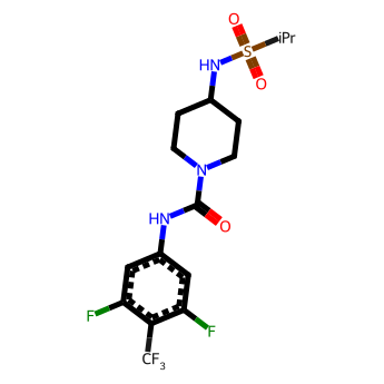 CC(C)S(=O)(=O)NC1CCN(C(=O)Nc2cc(F)c(C(F)(F)F)c(F)c2)CC1